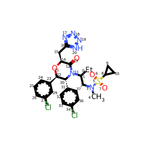 CCC(CN(C)S(=O)(=O)C1CC1)N1C(=O)[C@H](Cc2nnn[nH]2)O[C@H](c2cccc(Cl)c2)[C@H]1c1ccc(Cl)cc1